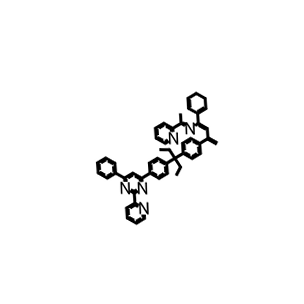 C=C(/C=C(\N=C(/C)c1ccccn1)C1=CCCC=C1)c1ccc(C(CC)(CC)c2ccc(-c3cc(-c4ccccc4)nc(-c4ccccn4)n3)cc2)cc1